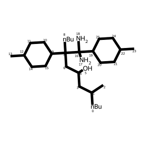 CCCCC(C)CC(O)CC(CCCC)(C1CCC(C)CC1)C(N)(N)C1CCC(C)CC1